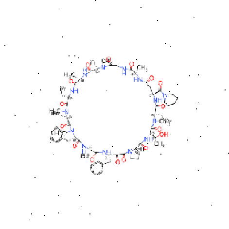 CC[C@H](C)[C@@H]1NC(=O)[C@H](Cc2ccccc2)N(C)C(=O)[C@H](CC(C)C)N(C)C(=O)[C@H](CC(C)C)NC(=O)[C@H](C)NC(=O)[C@H](C(C)C)N(C)C(=O)CNC(=O)[C@H](C)NC(=O)C[C@@H](C(=O)N2CCCCC2)NC(=O)[C@H](CC(C)C)N(C)C(=O)[C@H]([C@@H](C)O)NC(=O)[C@@H]2CCCN2C(=O)C(=O)[C@H](Cc2ccccc2)NC1=O